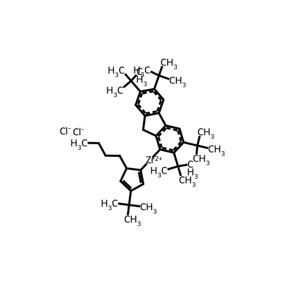 CCCCC1C=C(C(C)(C)C)C=[C]1[Zr+2][c]1c2c(cc(C(C)(C)C)c1C(C)(C)C)-c1cc(C(C)(C)C)c(C(C)(C)C)cc1C2.[Cl-].[Cl-]